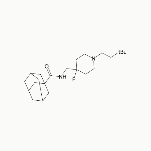 CC(C)(C)CCN1CCC(F)(CNC(=O)C23CC4CC(CC(C4)C2)C3)CC1